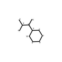 C[C](C(C)C)C1CCCCC1